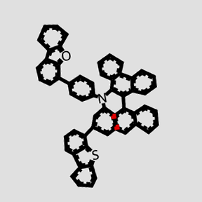 c1cc(-c2cccc3c2sc2ccccc23)cc(N(c2ccc(-c3cccc4c3oc3ccccc34)cc2)c2c(-c3cccc4ccccc34)c3ccccc3c3ccccc23)c1